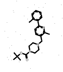 Cc1ccccc1-c1ccc(CN2CCN(C(=O)OC(C)(C)C)CC2)c(C)n1